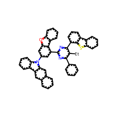 CCc1c(-c2ccccc2)nc(-c2cc(-n3c4ccccc4c4cc5ccccc5cc43)cc3oc4ccccc4c23)nc1-c1cccc2c1sc1ccccc12